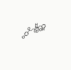 COc1ccc(C(=O)CCC(=O)N[C@@H](Cc2ccccc2)C(=O)O)cc1